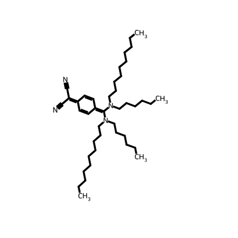 CCCCCCCCCCN(CCCCCC)C(=c1ccc(=C(C#N)C#N)cc1)N(CCCCCC)CCCCCCCCCC